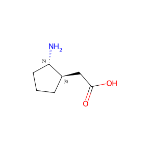 N[C@H]1CCC[C@@H]1CC(=O)O